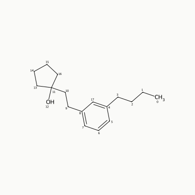 CCCCc1cccc(CCC2(O)CCCC2)c1